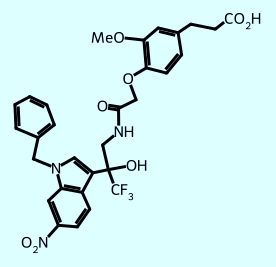 COc1cc(CCC(=O)O)ccc1OCC(=O)NCC(O)(c1cn(Cc2ccccc2)c2cc([N+](=O)[O-])ccc12)C(F)(F)F